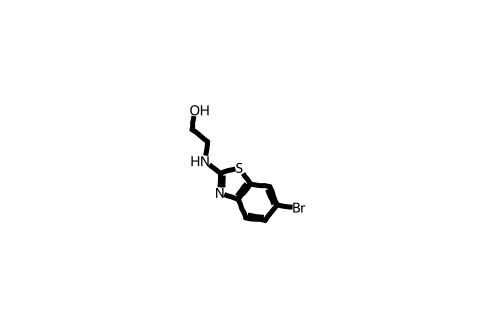 OCCNc1nc2ccc(Br)cc2s1